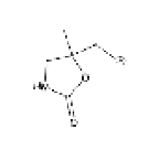 CC(C)CC1(C)CNC(=O)O1